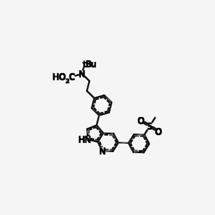 CC(C)(C)N(CCc1cccc(-c2c[nH]c3ncc(-c4cccc(S(C)(=O)=O)c4)cc23)c1)C(=O)O